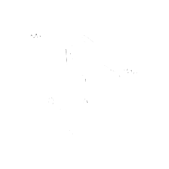 COc1ccc(OC)c([N]C([N])=O)c1